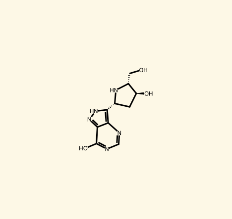 OC[C@H]1N[C@@H](c2[nH]nc3c(O)ncnc23)C[C@@H]1O